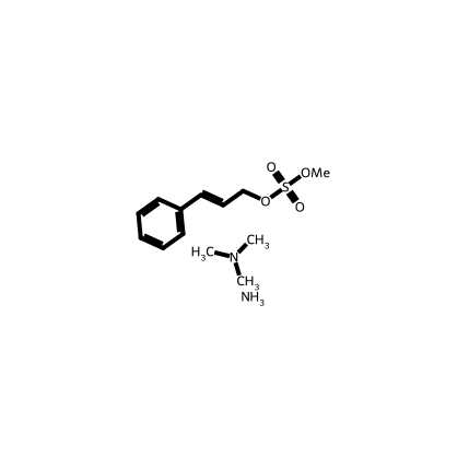 CN(C)C.COS(=O)(=O)OC/C=C/c1ccccc1.N